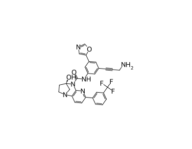 NCC#Cc1cc(NC(=O)N2c3nc(-c4cccc(C(F)(F)F)c4)ccc3N3CC[C@@]2(O)C3)cc(-c2cnco2)c1